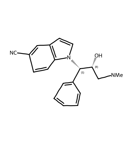 CNC[C@@H](O)[C@H](c1ccccc1)n1ccc2cc(C#N)ccc21